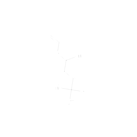 C=COC(O)CCC(O)(O)O